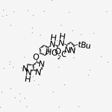 CC(C)(C)c1cc(NC(=O)Nc2ccc(Oc3ncnc4[nH]ncc34)cc2)n(C(=O)O)n1